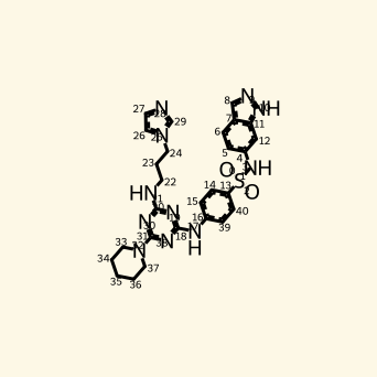 O=S(=O)(Nc1ccc2cn[nH]c2c1)c1ccc(Nc2nc(NCCCn3ccnc3)nc(N3CCCCC3)n2)cc1